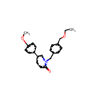 CCOCc1ccc(Cn2cc(-c3ccc(OC)cc3)ccc2=O)cc1